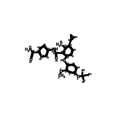 COc1cc(OC(F)(F)F)ccc1Oc1ccc(C2CC2)c(C)c1C(=O)Nc1ccc(C(N)=O)nc1